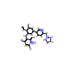 C=Cc1c(C)cc(-c2ccc(CN3CCCC3)nc2)cc1CC1=C(C)C=C(C)NC1=C